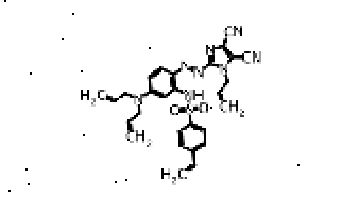 C=CCN(CC=C)c1ccc(/N=N/c2nc(C#N)c(C#N)n2CC=C)c(NS(=O)(=O)c2ccc(C=C)cc2)c1